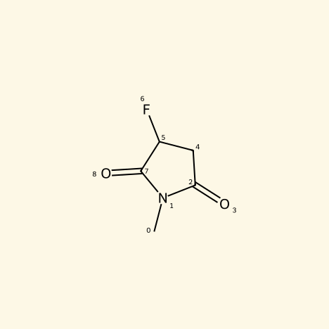 CN1C(=O)CC(F)C1=O